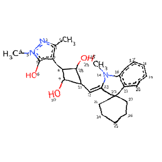 Cc1nn(C)c(O)c1C1C(O)C(C=C2N(C)c3ccccc3C23CCCCC3)C1O